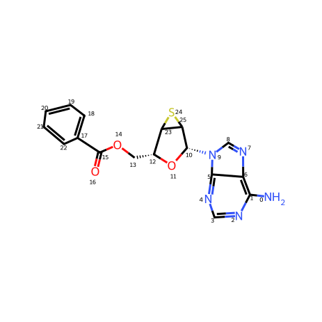 Nc1ncnc2c1ncn2[C@@H]1O[C@H](COC(=O)c2ccccc2)C2SC21